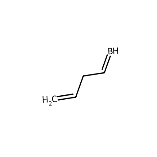 B=CCC=C